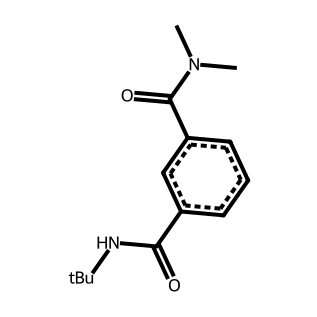 CN(C)C(=O)c1cccc(C(=O)NC(C)(C)C)c1